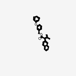 CC(C)C(C(=O)OCc1cccc(Oc2ccccc2)c1)c1ccc2ccccc2c1